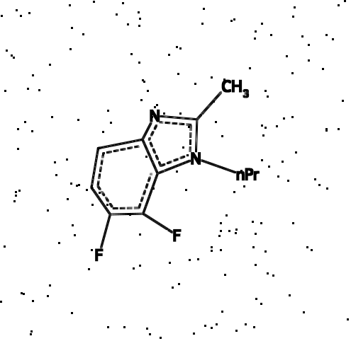 CCCn1c(C)nc2ccc(F)c(F)c21